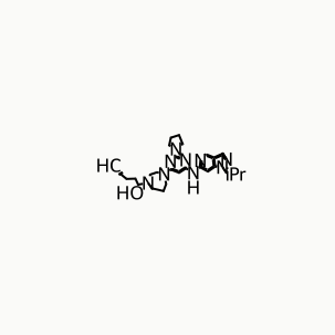 C#CCCC(O)N1CCCN(c2cc(Nc3cc4c(cn3)cnn4C(C)C)nc(N3CCCC3)n2)CC1